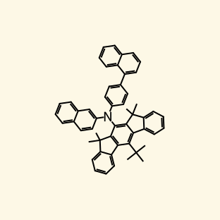 CC(C)(C)c1c2c(c(N(c3ccc(-c4cccc5ccccc45)cc3)c3ccc4ccccc4c3)c3c1-c1ccccc1C3(C)C)C(C)(C)c1ccccc1-2